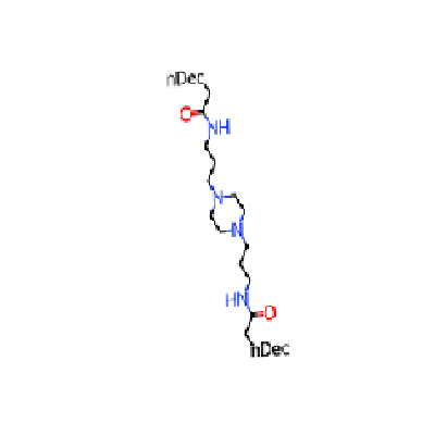 CCCCCCCCCCCC(=O)NCCCN1CCN(CCCNC(=O)CCCCCCCCCCC)CC1